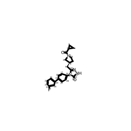 O=C(C1CC1)N1CC[C@@H](Cc2n[nH]c(=O)n2-c2ccc(-c3cccc(F)c3)cc2)C1